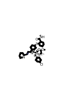 CNC(=O)c1ccccc1Sc1ccc2c(/C=C/c3ccccn3)nn(P(=O)(N[C@@H](C)C(=O)OC)Oc3ccc(Cl)cc3)c2c1